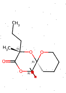 CCC[C@]1(C)O[C@]2(CCCCO2)[C@@]2(CCCCO2)OC1=O